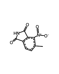 Cc1ccc2c(c1[N+](=O)[O-])C(=O)NC2=O